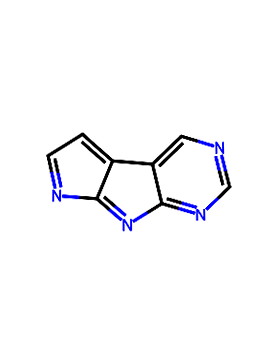 C1=NC2=Nc3ncncc3C2=C1